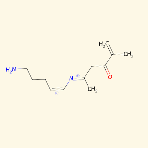 C=C(C)C(=O)C/C(C)=N/C=C\CCCN